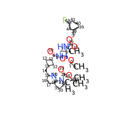 CCOC(=O)[C@@](C)(CNC(=O)[C@H]1C[C@H](Cc2ccc3c(n2)N(C(=O)OC(C)(C)C)CCC3)C1)NC(=O)OCc1cccc(F)c1